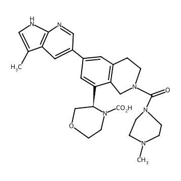 Cc1c[nH]c2ncc(-c3cc4c(c([C@@H]5COCCN5C(=O)O)c3)CN(C(=O)N3CCN(C)CC3)CC4)cc12